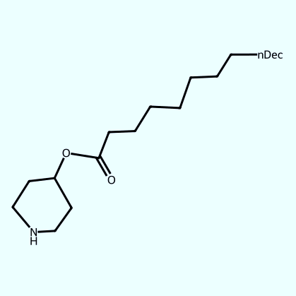 CCCCCCCCCCCCCCCCCC(=O)OC1CCNCC1